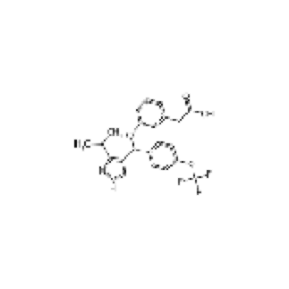 CC(C)c1n[nH]cc1C(Oc1cccc(CC(=O)O)c1)c1ccc(OC(F)(F)F)cc1